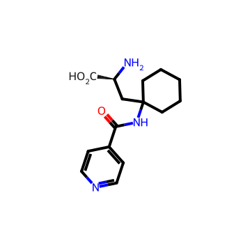 N[C@@H](CC1(NC(=O)c2ccncc2)CCCCC1)C(=O)O